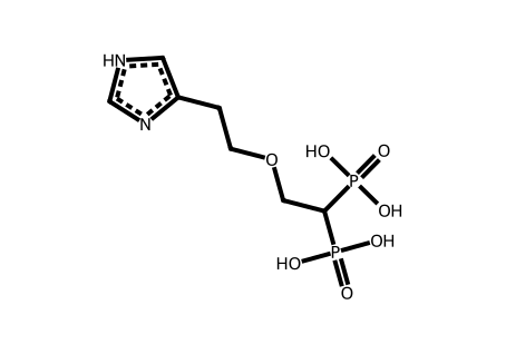 O=P(O)(O)C(COCCc1c[nH]cn1)P(=O)(O)O